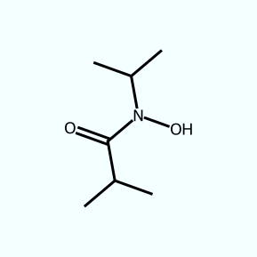 CC(C)C(=O)N(O)C(C)C